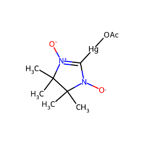 CC(=O)[O][Hg][C]1=[N+]([O-])C(C)(C)C(C)(C)N1[O]